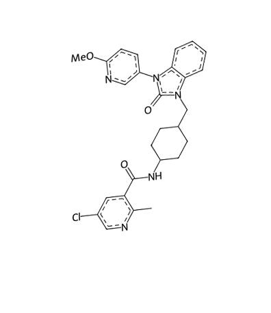 COc1ccc(-n2c(=O)n(CC3CCC(NC(=O)c4cc(Cl)cnc4C)CC3)c3ccccc32)cn1